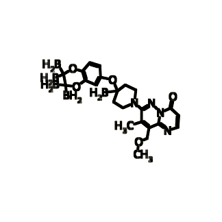 BC1(Oc2ccc3c(c2)OC(B)(B)C(B)(B)O3)CCN(c2nn3c(=O)ccnc3c(COC)c2C)CC1